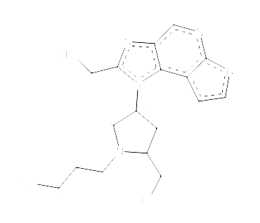 OCc1nc2cnc3[nH]ccc3c2n1C1CC(CO)N(CCCC(F)(F)F)C1